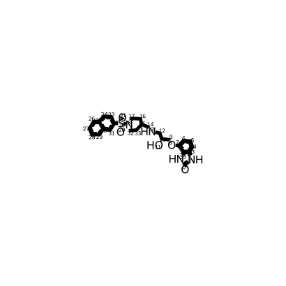 O=c1[nH]c2cccc(OC[C@H](O)CNCC3CCN(S(=O)(=O)c4ccc5ccccc5c4)CC3)c2[nH]1